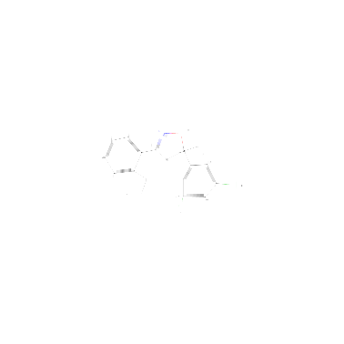 CC(=O)OCc1ccccc1C1=NOC(c2cc(Cl)cc(Cl)c2)(C(F)(F)F)C1